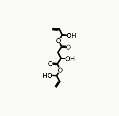 C=CC(O)OC(=O)CC(O)C(=O)OC(O)C=C